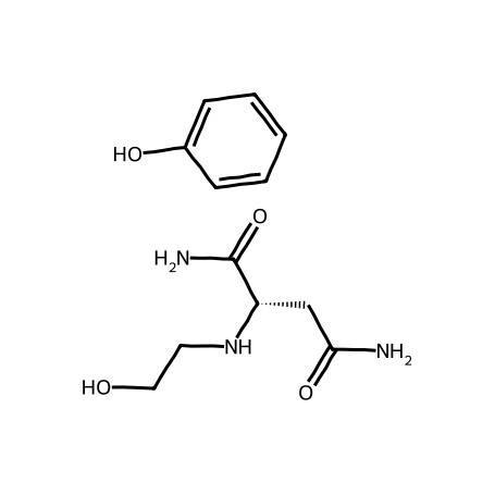 NC(=O)C[C@H](NCCO)C(N)=O.Oc1ccccc1